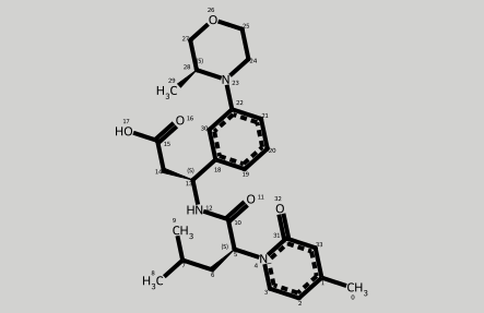 Cc1ccn([C@@H](CC(C)C)C(=O)N[C@@H](CC(=O)O)c2cccc(N3CCOC[C@@H]3C)c2)c(=O)c1